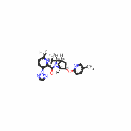 [2H]C([2H])([2H])[C@@]1([2H])[C@H]2C[C@@H](Oc3ccc(C(F)(F)F)cn3)[C@H](C2)N1C(=O)c1nc(C)ccc1-n1nccn1